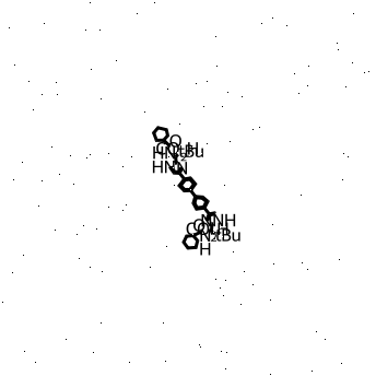 CC(C)(C)C(NC(=O)C1(C(=O)O)CCCCC1)c1nc(-c2ccc(-c3ccc(-c4c[nH]c(C(NC(=O)C5(C(=O)O)CCCCC5)C(C)(C)C)n4)cc3)cc2)c[nH]1